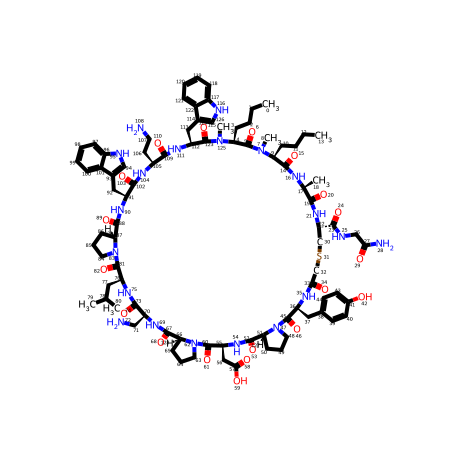 CCCC[C@H]1C(=O)N(C)[C@@H](CCCC)C(=O)N[C@@H](C)C(=O)N[C@H](C(=O)NCC(N)=O)CSCC(=O)N[C@@H](Cc2ccc(O)cc2)C(=O)N2CCC[C@H]2C(=O)N[C@@H](CC(=O)O)C(=O)N2CCC[C@H]2C(=O)N[C@@H](CN)C(=O)N[C@@H](CC(C)C)C(=O)N2CCC[C@H]2C(=O)N[C@@H](Cc2c[nH]c3ccccc23)C(=O)N[C@@H](CCN)C(=O)N[C@@H](Cc2c[nH]c3ccccc23)C(=O)N1C